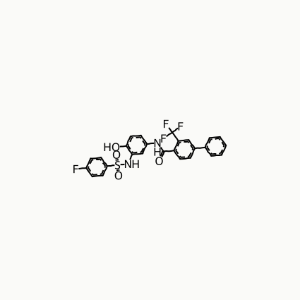 O=C(Nc1ccc(O)c(NS(=O)(=O)c2ccc(F)cc2)c1)c1ccc(-c2ccccc2)cc1C(F)(F)F